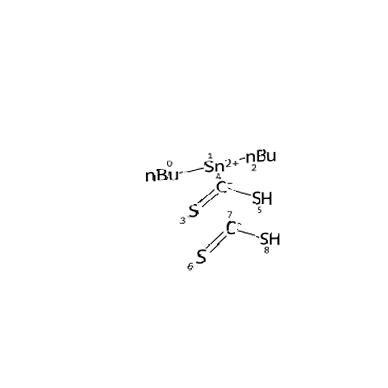 CCC[CH2][Sn+2][CH2]CCC.S=[C-]S.S=[C-]S